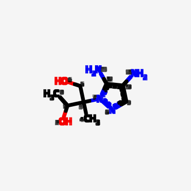 CC(O)C(C)(CO)n1ncc(N)c1N